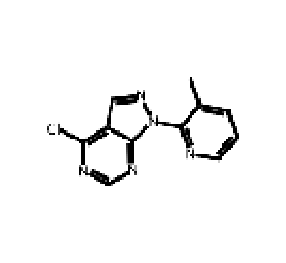 Cc1cccnc1-n1ncc2c(Cl)ncnc21